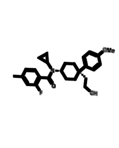 COc1ccc([C@]2(CCO)CC[C@@H](N(C(=O)c3ccc(C)cc3F)C3CC3)CC2)cc1